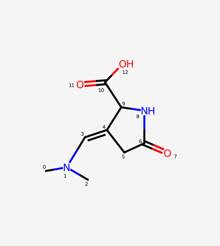 CN(C)C=C1CC(=O)NC1C(=O)O